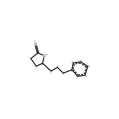 O=C1CCC(CCCc2ccccc2)O1